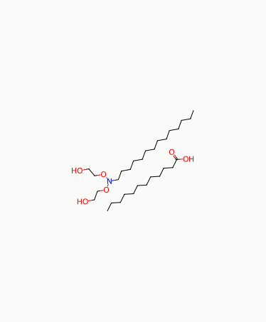 CCCCCCCCCCCC(=O)O.CCCCCCCCCCCCCCN(OCCO)OCCO